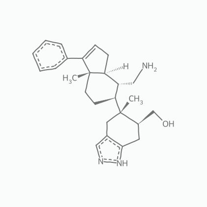 C[C@]1([C@H]2CC[C@]3(C)C(c4ccccc4)=CC[C@H]3[C@@H]2CN)Cc2cn[nH]c2C[C@@H]1CO